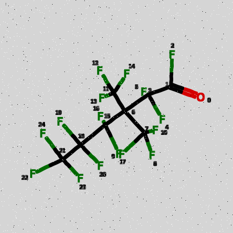 O=C(F)C(F)(F)C(C(F)(F)F)(C(F)(F)F)C(F)(F)C(F)(F)C(F)(F)F